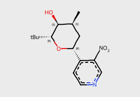 C[C@H]1C[C@H](c2ccncc2[N+](=O)[O-])O[C@H](C(C)(C)C)[C@H]1O